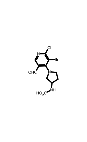 O=Cc1cnc(Cl)c(Br)c1N1CCC(NC(=O)O)C1